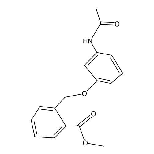 COC(=O)c1ccccc1COc1cccc(NC(C)=O)c1